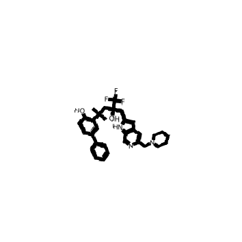 CC(C)(CC(O)(Cc1cc2cc(CN3CCCCC3)ncc2[nH]1)C(F)(F)F)c1cc(-c2ccccc2)ccc1O